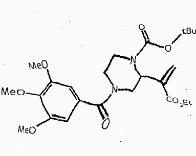 C=C(C(=O)OCC)C1CN(C(=O)c2cc(OC)c(OC)c(OC)c2)CCN1C(=O)OC(C)(C)C